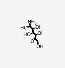 NC(O)[C@@H](O)[C@H](O)[C@@H](O)C(=O)CO